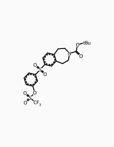 CC(C)(C)OC(=O)N1CCc2ccc(S(=O)(=O)c3cccc(OS(=O)(=O)C(F)(F)F)c3)cc2CC1